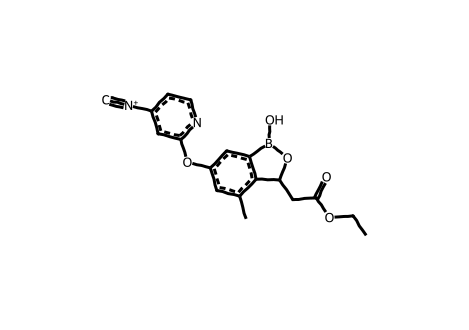 [C-]#[N+]c1ccnc(Oc2cc(C)c3c(c2)B(O)OC3CC(=O)OCC)c1